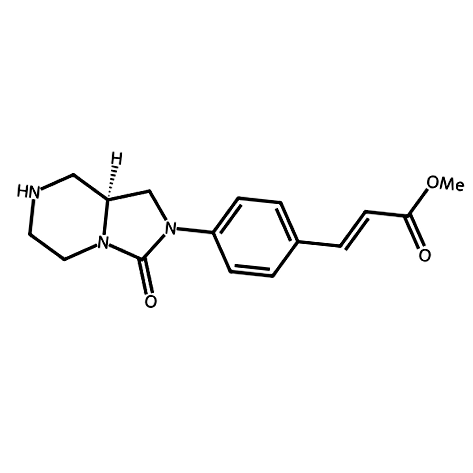 COC(=O)/C=C/c1ccc(N2C[C@@H]3CNCCN3C2=O)cc1